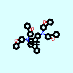 CC1(C2(C)c3ccccc3-c3ccc(N(c4ccc5oc6ccccc6c5c4)c4ccc5oc6ccccc6c5c4)cc32)c2ccccc2-c2ccc(N(c3ccc4oc5ccccc5c4c3)c3ccc4oc5ccccc5c4c3)cc21